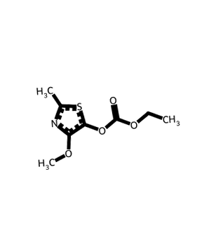 CCOC(=O)Oc1sc(C)nc1OC